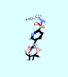 CC1(C)OB(c2ccc(S(=O)(=O)NC(=O)O)nc2)OC1(C)C